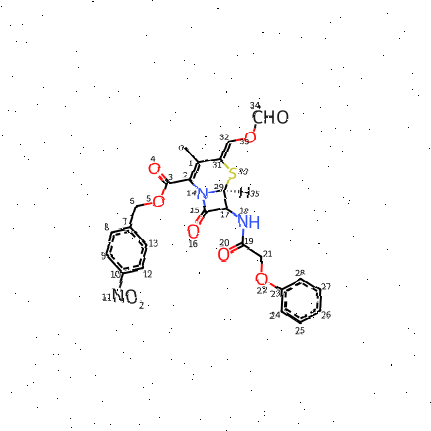 CC1=C(C(=O)OCc2ccc([N+](=O)[O-])cc2)N2C(=O)C(NC(=O)COc3ccccc3)[C@@H]2SC1=COC=O